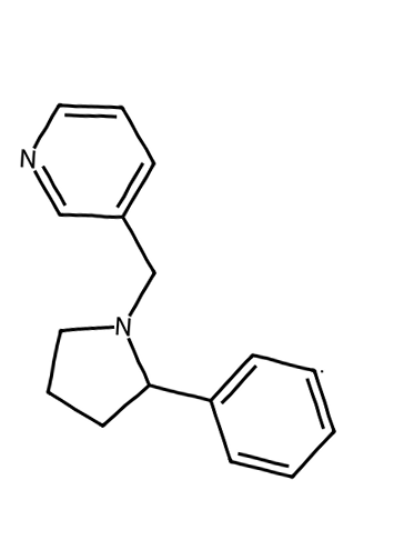 [c]1cccc(C2CCCN2Cc2cccnc2)c1